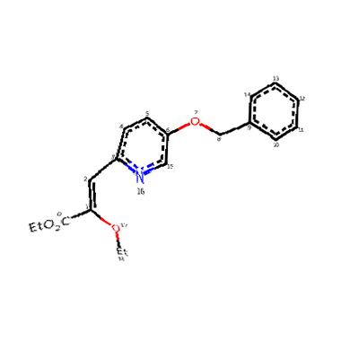 CCOC(=O)/C(=C/c1ccc(OCc2ccccc2)cn1)OCC